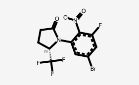 O=C1CC[C@@H](C(F)(F)F)N1c1cc(Br)cc(F)c1[N+](=O)[O-]